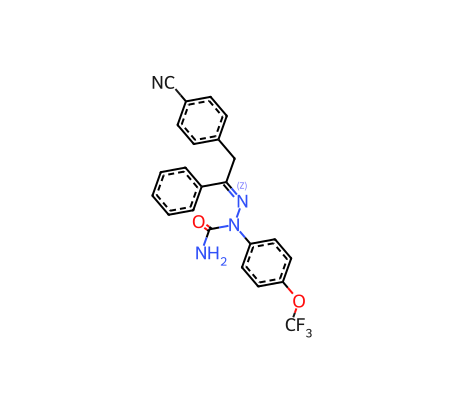 N#Cc1ccc(C/C(=N/N(C(N)=O)c2ccc(OC(F)(F)F)cc2)c2ccccc2)cc1